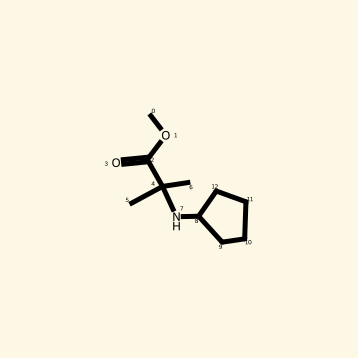 COC(=O)C(C)(C)NC1CCCC1